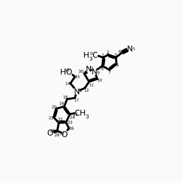 Cc1cc(C#N)ccc1-n1cc(CN(CCO)CCc2ccc3c(c2C)COC3=O)cn1